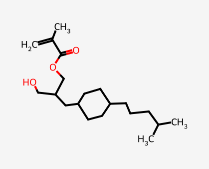 C=C(C)C(=O)OCC(CO)CC1CCC(CCCC(C)C)CC1